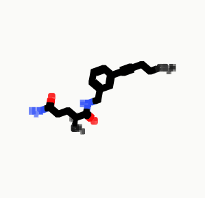 C[C@@H](CCC(N)=O)C(=O)NCc1cccc(C#CCCC(=O)O)c1